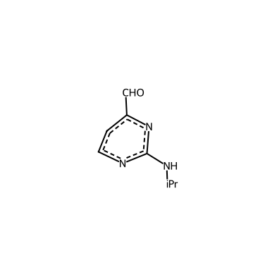 CC(C)Nc1nccc(C=O)n1